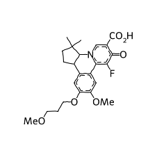 COCCCOc1cc2c(cc1OC)-c1c(F)c(=O)c(C(=O)O)cn1C1C2CCC1(C)C